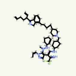 C=CCCC(C=C)C1=NCc2c(CCCCC3CCN(CC4CCC(N/C=C(\C(=N)C(F)F)c5cnn(/C=C\C)c5N(C)NC5C=CCCC5)CC4)CC3)cccc21